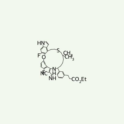 CCOC(=O)CCc1cccc(C2CCCC(C)(C)CSCCc3c(c(F)cc4[nH]ccc34)Oc3ccc(F)c(c3)/C(=C(\C#N)C=N)N2)c1